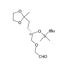 CC1(CC[C@@H](COCC=O)O[Si](C)(C)C(C)(C)C)OCCO1